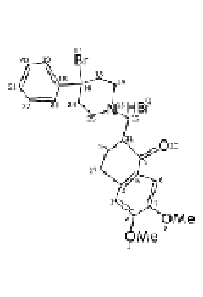 Br.COc1cc2c(cc1OC)C(=O)C(CN1CCC(Br)(c3ccccc3)CC1)CC2